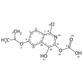 CC(C)Oc1ccc2c(Cl)nc(OC(=O)O)c(O)c2c1